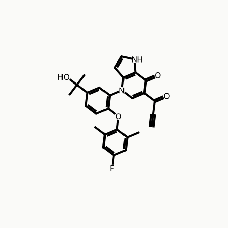 C#CC(=O)c1cn(-c2cc(C(C)(C)O)ccc2Oc2c(C)cc(F)cc2C)c2cc[nH]c2c1=O